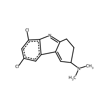 CN(C)C1C=C2C(=Nc3c(Cl)cc(Cl)cc32)CC1